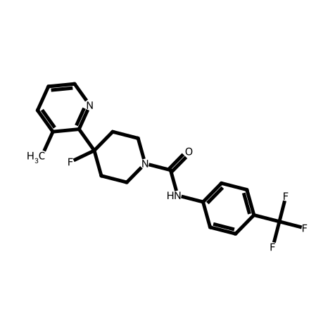 Cc1cccnc1C1(F)CCN(C(=O)Nc2ccc(C(F)(F)F)cc2)CC1